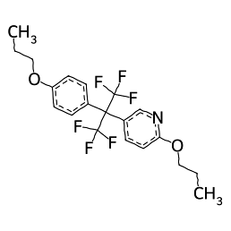 CCCOc1ccc(C(c2ccc(OCCC)nc2)(C(F)(F)F)C(F)(F)F)cc1